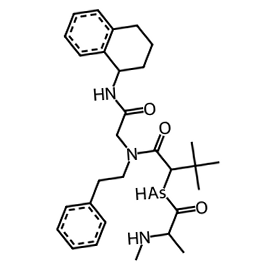 CNC(C)C(=O)[AsH]C(C(=O)N(CCc1ccccc1)CC(=O)NC1CCCc2ccccc21)C(C)(C)C